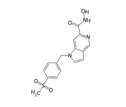 CS(=O)(=O)c1ccc(Cn2ccc3cnc(C(=O)NO)cc32)cc1